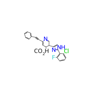 O=C(O)C1C=C(C#Cc2ccccc2)N=CC1c1c[nH]c(-c2c(F)cccc2Cl)n1